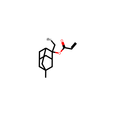 C=CC(=O)OC1(CC(C)CC)C2CC3CC1CC(C)(C3)C2